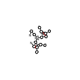 N#Cc1ccccc1-c1ccc(-c2nc(-c3ccc(-c4ccccc4C#N)c(-n4c5ccc(-c6ccccc6)cc5c5cc(-c6ccccc6)ccc54)c3)nc(-c3ccc(-c4ccccc4C#N)c(-n4c5ccc(-c6ccccc6)cc5c5cc(-c6ccccc6)ccc54)c3)n2)cc1